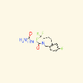 NC(=O)NCC(=O)N1Cc2ccc(F)cc2CC[C@H]1C(F)(F)F